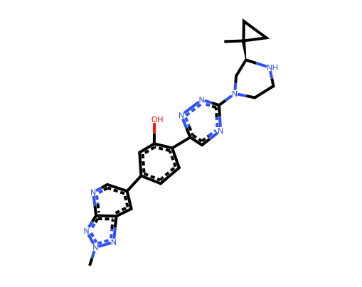 Cn1nc2cc(-c3ccc(-c4cnc(N5CCN[C@H](C6(C)CC6)C5)nn4)c(O)c3)cnc2n1